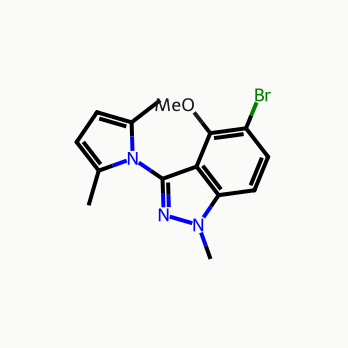 COc1c(Br)ccc2c1c(-n1c(C)ccc1C)nn2C